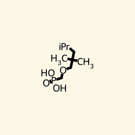 CC(C)CC(C)(C)COCP(=O)(O)O